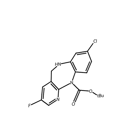 CC(C)(C)OC(=O)N1c2ccc(Cl)cc2NCc2cc(F)cnc21